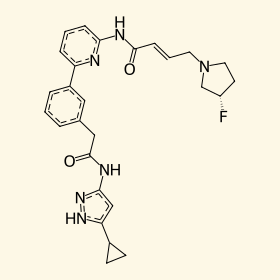 O=C(/C=C/CN1CC[C@H](F)C1)Nc1cccc(-c2cccc(CC(=O)Nc3cc(C4CC4)[nH]n3)c2)n1